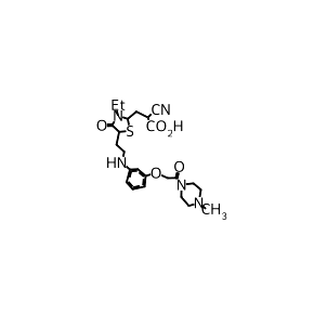 CCN1C(=O)C(CCNc2cccc(OCC(=O)N3CCN(C)CC3)c2)SC1CC(C#N)C(=O)O